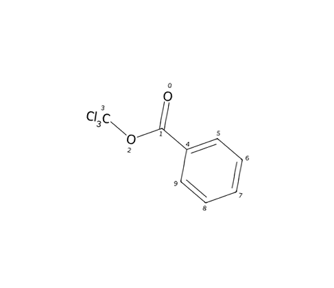 O=C(OC(Cl)(Cl)Cl)c1ccccc1